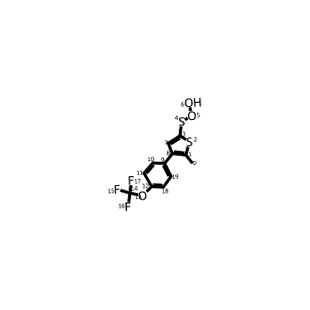 Cc1sc(SOO)cc1-c1ccc(OC(F)(F)F)cc1